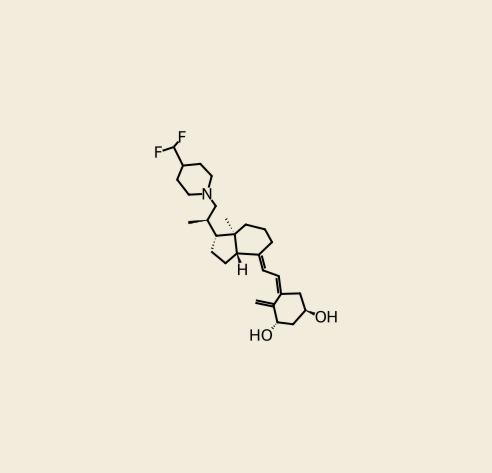 C=C1/C(=C\C=C2/CCC[C@]3(C)[C@@H]([C@@H](C)CN4CCC(C(F)F)CC4)CC[C@@H]23)C[C@@H](O)C[C@@H]1O